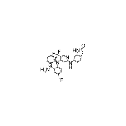 NC(=O)c1cc(CF)ccc1N(c1ccccc1)c1cc(Nc2ccc3c(c2)NC(=O)C3)ncc1C(F)(F)F